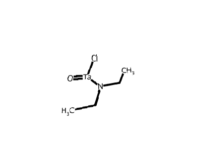 CC[N](CC)[Ta](=[O])[Cl]